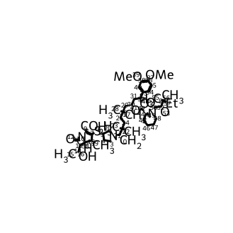 C=C(N1CC[C@H](SC2=C(C(=O)O)N3C(=O)[C@H]([C@@H](C)O)[C@H]3[C@H]2C)C1)C(C)(C)CCC(C)(C)C[C@@H](CCc1ccc(OC)c(OC)c1)OC(=O)[C@@H]1CCCCN1C(=O)C(=O)C(C)(C)CC